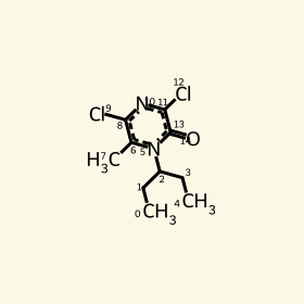 CCC(CC)n1c(C)c(Cl)nc(Cl)c1=O